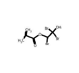 C=C(C)C(=O)OC(Br)C(O)(Br)Br